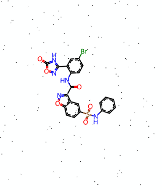 O=C(Nc1ccc(Br)cc1-c1noc(=O)[nH]1)c1noc2ccc(S(=O)(=O)Nc3ccccc3)cc12